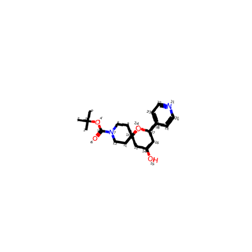 CC(C)(C)OC(=O)N1CCC2(CC1)CC(O)CC(c1ccncc1)O2